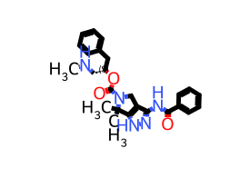 CNC[C@H](Cc1ccccc1)OC(=O)N1Cc2c(NC(=O)c3ccccc3)n[nH]c2C1(C)C